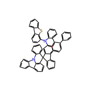 c1ccc(-c2ccccc2-c2ccccc2N(c2ccc3c(c2)C2(c4ccccc4-3)c3ccccc3-n3c4ccccc4c4cccc2c43)c2cccc3c2sc2ccccc23)cc1